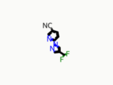 N#Cc1ccc(-n2cc(C(F)F)cn2)nc1